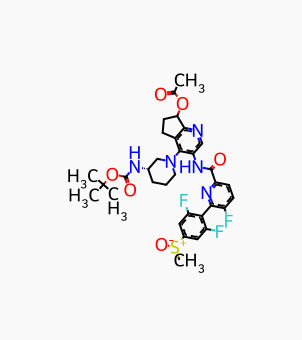 CC(=O)OC1CCc2c1ncc(NC(=O)c1ccc(F)c(-c3c(F)cc([S+](C)[O-])cc3F)n1)c2N1CCC[C@H](NC(=O)OC(C)(C)C)C1